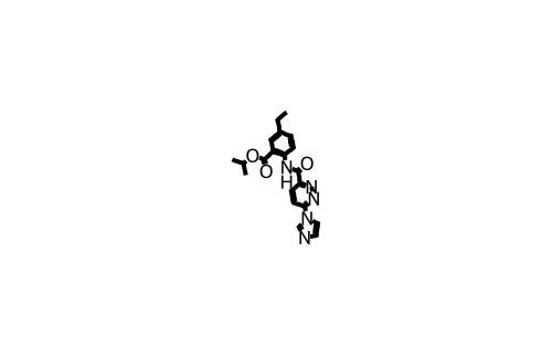 CCc1ccc(NC(=O)c2ccc(-n3ccnc3)nn2)c(C(=O)OC(C)C)c1